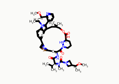 CCn1c(-c2cccnc2[C@H](C)OC)c2c3cc(ccc31)-c1csc(n1)C[C@H](NC(=O)[C@H](C(C)C)N(C)C(=O)N1CC([C@@H](C)OC)C1)C(=O)N1CCC[C@@](O)(N1)C(=O)OCC(C)(C)C2